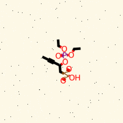 CC#CC(CS(=O)(=O)O)OP(=O)(OCC)OCC